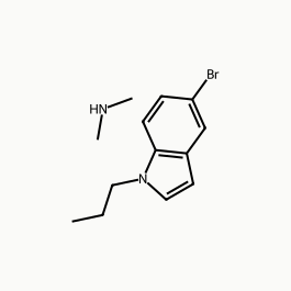 CCCn1ccc2cc(Br)ccc21.CNC